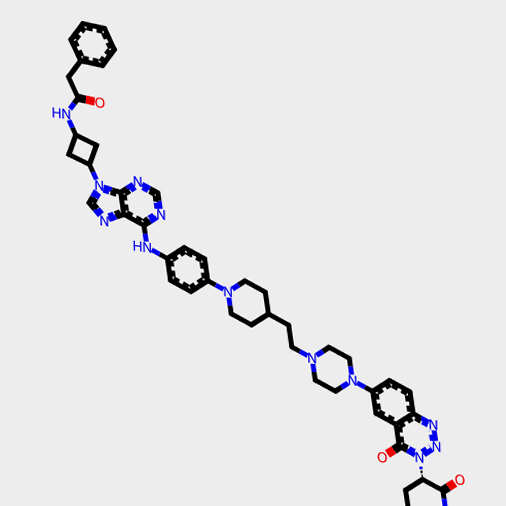 O=C1CC[C@H](n2nnc3ccc(N4CCN(CCC5CCN(c6ccc(Nc7ncnc8c7ncn8C7CC(NC(=O)Cc8ccccc8)C7)cc6)CC5)CC4)cc3c2=O)C(=O)N1